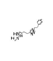 Nc1nc(CCc2cn(CCc3ccsc3)nn2)c[nH]1